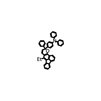 CCc1c2c(c3cccc4c3c1-c1ccccc1-4)OC(c1ccccc1)(c1ccc(N(c3ccccc3)c3ccccc3)cc1)C=C2